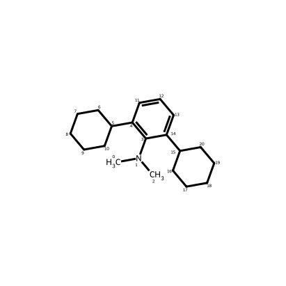 CN(C)c1c(C2CCCCC2)cccc1C1CCCCC1